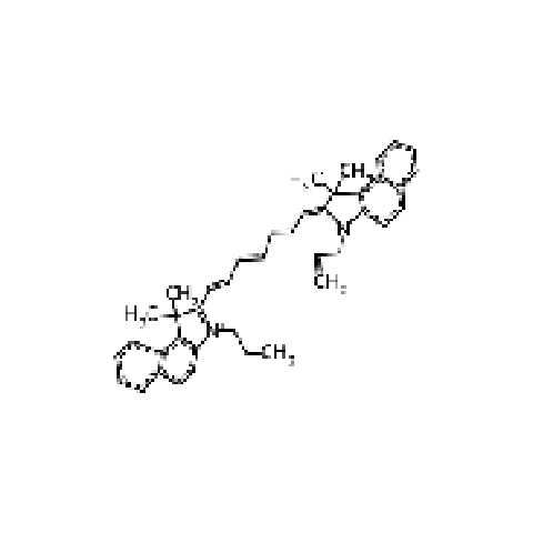 C=CCN1C(=CC=CC=CC=CC2=[N+](CC=C)c3ccc4ccccc4c3C2(C)C)C(C)(C)c2c1ccc1ccccc21